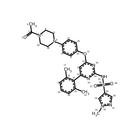 CC(=O)N1CCN(c2ccc(Oc3cc(-c4c(C)cccc4C)nc(NS(=O)(=O)c4cnn(C)c4)n3)cc2)CC1